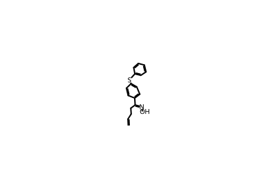 C=CCCC(=NO)c1ccc(Sc2ccccc2)cc1